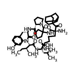 CC[C@H](C)[C@H](NC(=O)[C@H](Cc1ccc(O)cc1)NC(=O)[C@@H]1CCCN1C(=O)C1(NC(=O)[C@@](N)(CCCCN)C(=O)C23CC4CC(CC(C4)C2)C3)CCCC1)C(=O)N[C@@H](CC(C)C)C(=O)O